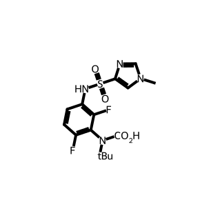 Cn1cnc(S(=O)(=O)Nc2ccc(F)c(N(C(=O)O)C(C)(C)C)c2F)c1